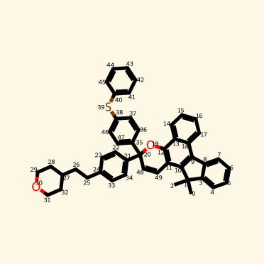 CC1(C)c2ccccc2-c2c1c1c(c3ccccc23)OC(c2ccc(CCC3CCOCC3)cc2)(c2ccc(Sc3ccccc3)cc2)C=C1